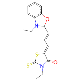 CCN1C(=O)C(=CC=CC2Oc3ccccc3N2CC)SC1=S